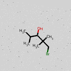 CC(C)C(O)C(C)(C)CBr